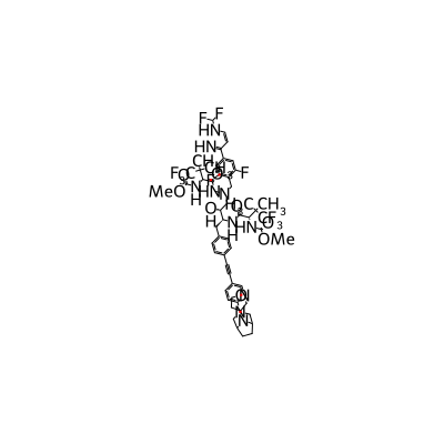 COC(=O)N[C@H](C(=O)N[C@@H](Cc1ccc(C#Cc2ccc(N3CC4CCC(C3)N4[C@H]3CCOC3)nc2)cc1)[C@@H](O)CN(Cc1c(F)cc(C(=N)/C=C\NC(F)F)cc1F)NC(=O)[C@@H](NC(=O)OC)C(C)(C)C(F)(F)F)C(C)(C)C(F)(F)F